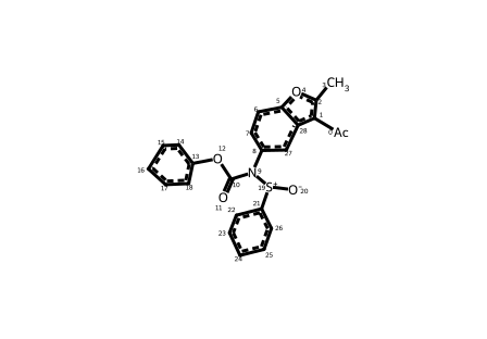 CC(=O)c1c(C)oc2ccc(N(C(=O)Oc3ccccc3)[S+]([O-])c3ccccc3)cc12